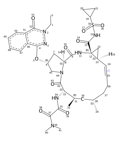 CCn1nc(O[C@@H]2C[C@H]3C(=O)N[C@]4(C(=O)NS(=O)(=O)C5CC5)C[C@H]4/C=C\CC[C@H](C)C[C@@H](C)[C@H](NC(=O)C(=O)N(C)C)C(=O)N3C2)c2ccccc2c1=O